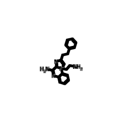 NCC[N+]12C=C(CCc3ccccc3)N=C1C(N)=Nc1ccccc12